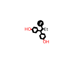 CCC(=C(c1ccc(O)cc1)c1ccc(O)cc1)[C]12[CH]3[CH]4[CH]5[CH]1[Fe]45321678[CH]2[CH]1[CH]6[CH]7[CH]28